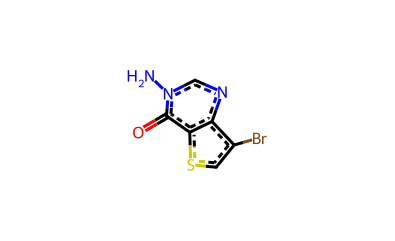 Nn1cnc2c(Br)csc2c1=O